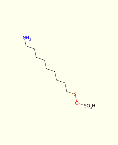 NCCCCCCCCCSOS(=O)(=O)O